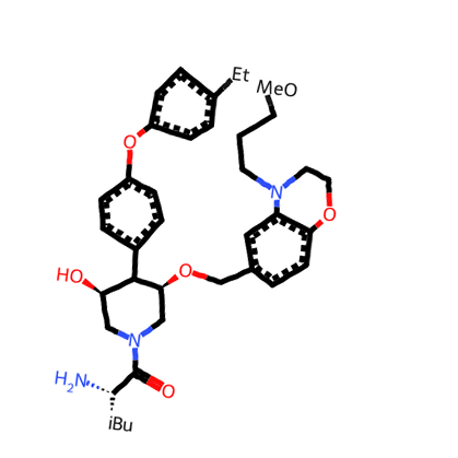 CCc1ccc(Oc2ccc(C3[C@H](O)CN(C(=O)[C@@H](N)[C@@H](C)CC)C[C@@H]3OCc3ccc4c(c3)N(CCCOC)CCO4)cc2)cc1